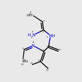 C=C(N/C(N)=C/CCC)C(/N=C\C(C)CC)=C(C)C